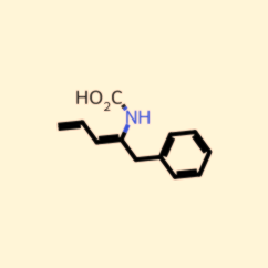 C=CC=C(Cc1ccccc1)NC(=O)O